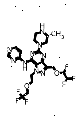 C[C@@H]1CN(c2nc(Nc3ccncn3)c3c(n2)c(COC(F)C(F)F)nn3CCOCC(F)(F)F)CCN1